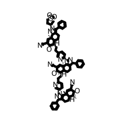 C[C@H]1C(=O)C(C#N)=C[C@@]2(C)c3c(c(-c4ccccc4)nn3-c3ccc(CC[C@H]4C(=O)C(C#N)=C[C@@]5(C)c6c(c(-c7ccccc7)nn6-c6ccc(CC[C@H]7C(=O)C(C#N)=C[C@@]8(C)c9nn(C%10CCS(=O)(=O)C%10)c(-c%10ccccc%10)c9CC[C@H]78)cn6)CC[C@H]45)nc3)CC[C@H]12